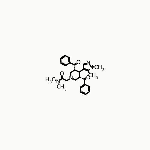 Cc1c(C2[C@@H](C(=O)c3ccccc3)CN(CC(=O)N(C)C)C[C@@H]2C(=O)c2ccccc2)cnn1C